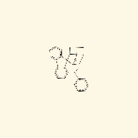 CN(c1ccccc1)c1cccc2c1C1(c3ccccc3-2)C2CC3CC4CC1C34C2